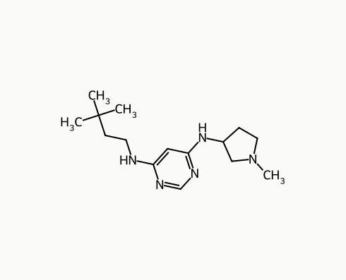 CN1CCC(Nc2cc(NCCC(C)(C)C)ncn2)C1